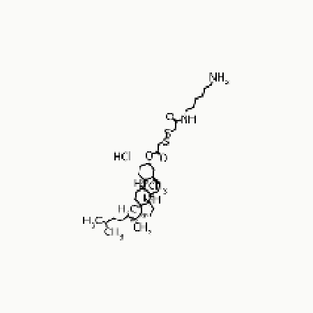 CC(C)CCC[C@@H](C)[C@H]1CC[C@H]2[C@@H]3CC=C4C[C@@H](OC(=O)CSSCC(=O)NCCCCCCN)CC[C@]4(C)[C@H]3CC[C@]12C.Cl